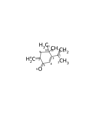 C=C(C)C1=CC(=O)C(=C)CC1(C)C